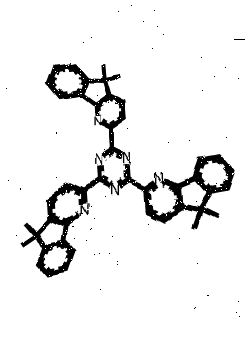 CC1(C)c2ccccc2-c2nc(-c3nc(-c4ccc5c(n4)-c4ccccc4C5(C)C)nc(-c4ccc5c(n4)-c4ccccc4C5(C)C)n3)ccc21